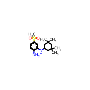 CC1(C)CC(Nc2cc(S(C)(=O)=O)ccc2N)CC(C)(C)C1